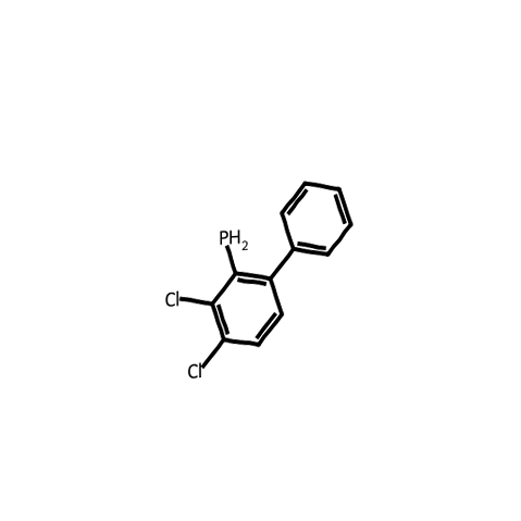 Pc1c(-c2ccccc2)ccc(Cl)c1Cl